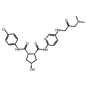 CN(C)CC(=O)CNc1ccc(NC(=O)[C@H]2C[C@@H](O)CN2C(=O)Nc2ccc(Cl)cc2)nc1